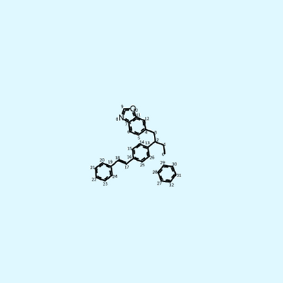 CCC(Cc1ccc2ncoc2c1)c1ccc(C=Cc2ccccc2)cc1.c1ccccc1